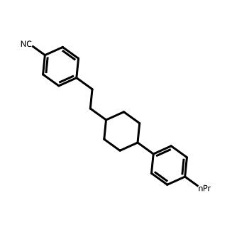 CCCc1ccc(C2CCC(CCc3ccc(C#N)cc3)CC2)cc1